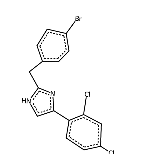 Clc1ccc(-c2c[nH]c(Cc3ccc(Br)cc3)n2)c(Cl)c1